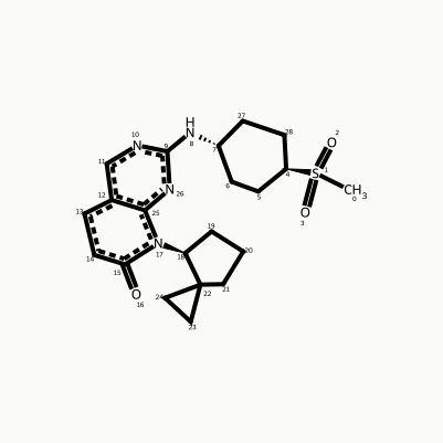 CS(=O)(=O)[C@H]1CC[C@H](Nc2ncc3ccc(=O)n([C@H]4CCCC45CC5)c3n2)CC1